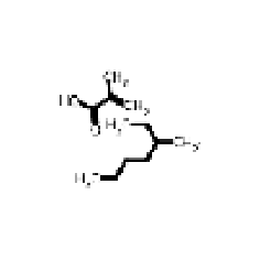 C=C(C)C(=O)O.[CH2]C(CC)CCCC